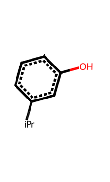 CC(C)c1cc[c]c(O)c1